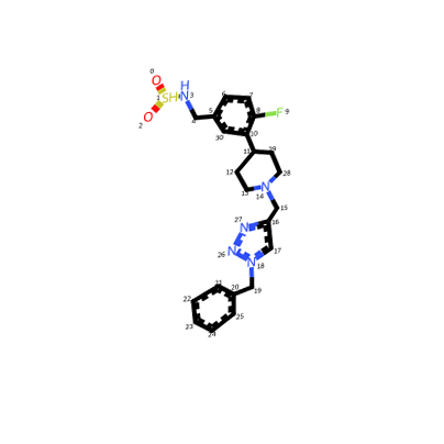 O=[SH](=O)NCc1ccc(F)c(C2CCN(Cc3cn(Cc4ccccc4)nn3)CC2)c1